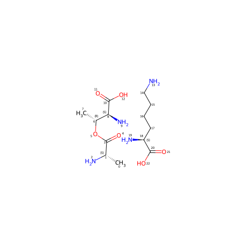 C[C@H](N)C(=O)O[C@H](C)[C@H](N)C(=O)O.NCCCC[C@H](N)C(=O)O